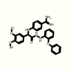 CCOc1cc(C(Nc2ccc(C(=N)N)cc2)C(=O)NNc2ccccc2Oc2ccccc2)ccc1OC(C)C